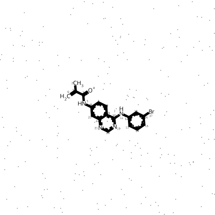 C=C(C)C(=O)Nc1ccc2c(Nc3cccc(Br)c3)ncnc2c1